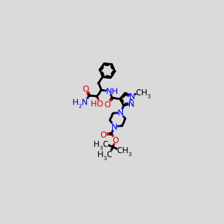 Cn1cc(C(=O)NC(Cc2ccccc2)C(O)C(N)=O)c(N2CCN(C(=O)OC(C)(C)C)CC2)n1